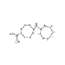 OB(O)C1CCCC(BC2CCCCCCC2)CCC1